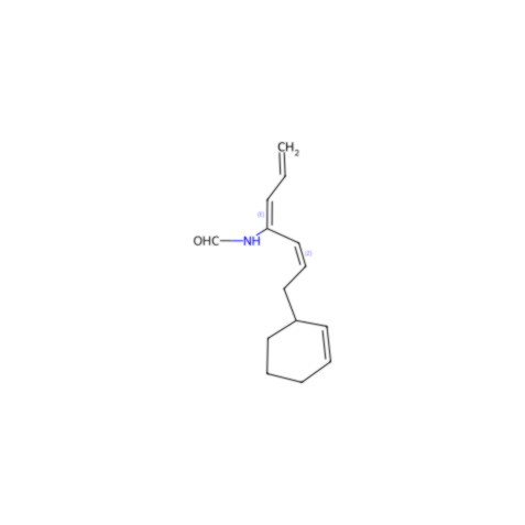 C=C/C=C(\C=C/CC1C=CCCC1)NC=O